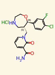 Cl.NC(=O)c1cccn(C[C@@H]2CNCCO[C@H]2c2ccc(Cl)c(F)c2)c1=O